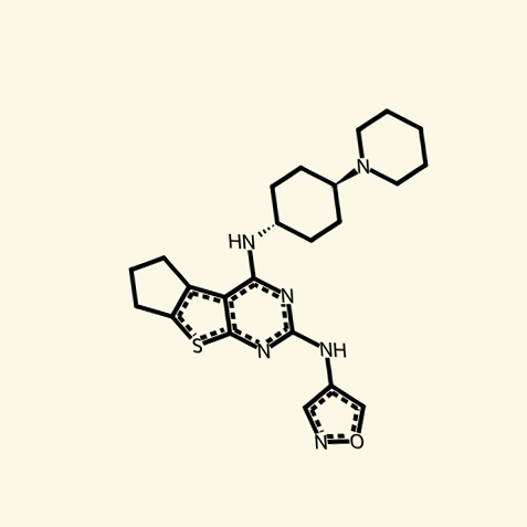 c1nocc1Nc1nc(N[C@H]2CC[C@H](N3CCCCC3)CC2)c2c3c(sc2n1)CCC3